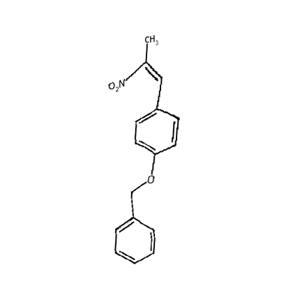 C/C(=C/c1ccc(OCc2ccccc2)cc1)[N+](=O)[O-]